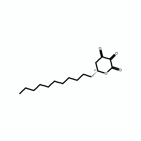 CCCCCCCCCCC[C@@H]1CC(=O)C(=O)C(=O)O1